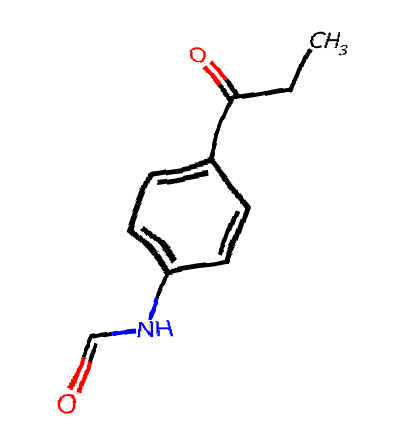 CCC(=O)c1ccc(NC=O)cc1